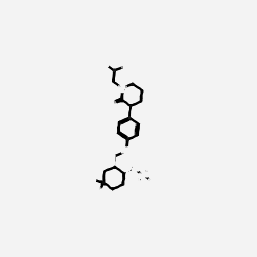 CS(=O)(=O)N[C@H]1CCC(F)(F)C[C@H]1COc1ccc(C2CCCN(CC(F)F)C2=O)cc1